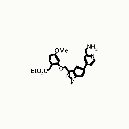 CCOC(=O)Cc1ccc(OC)cc1OCc1nn(C)c2ccc(-c3ccnc(CN)c3)cc12